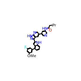 COc1cc(F)cc(-c2cccc3[nH]c(-c4n[nH]c5ncc(-c6cncc(NC(=O)CC(C)C)c6)cc45)cc23)c1